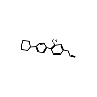 C=CCc1ccc(-c2ccc(C3CCCCC3)cc2)c(C#N)c1